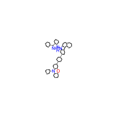 N=C(c1ccccc1)c1ccccc1Nn1c2cc(-c3ccc(-c4ccc5c(c4)Oc4ccccc4N5c4ccccc4)cc3)ccc2c2c3ccccc3ccc21